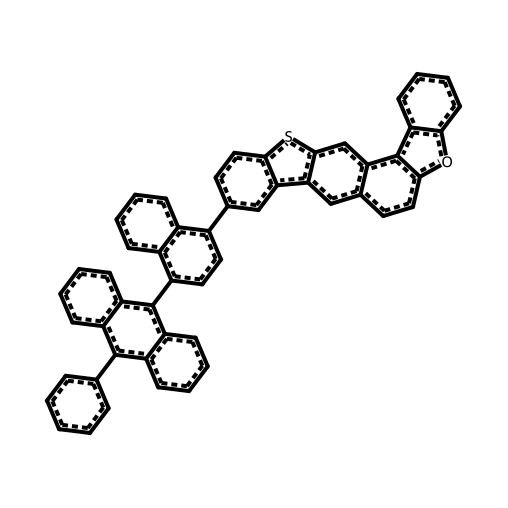 c1ccc(-c2c3ccccc3c(-c3ccc(-c4ccc5sc6cc7c(ccc8oc9ccccc9c87)cc6c5c4)c4ccccc34)c3ccccc23)cc1